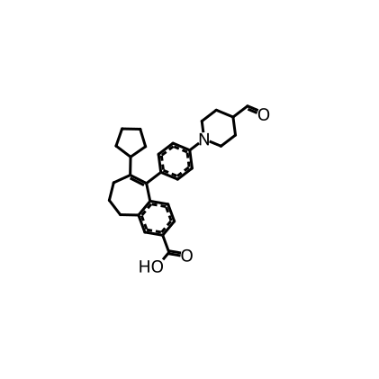 O=CC1CCN(c2ccc(C3=C(C4CCCC4)CCCc4cc(C(=O)O)ccc43)cc2)CC1